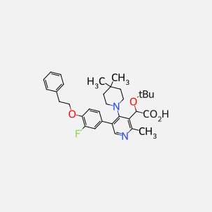 Cc1ncc(-c2ccc(OCCc3ccccc3)c(F)c2)c(N2CCC(C)(C)CC2)c1C(OC(C)(C)C)C(=O)O